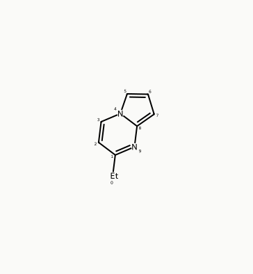 CCc1ccn2cccc2n1